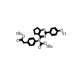 CCOc1ccc(-c2nc3c(c(N(C(=O)OC(C)(C)C)c4ccc(CC(=O)OC(C)(C)C)cc4)n2)CCC3)cc1